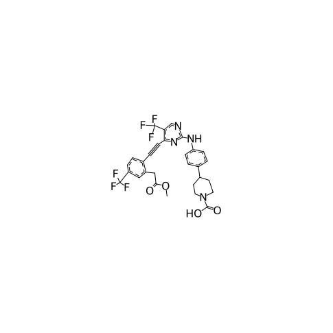 COC(=O)Cc1cc(C(F)(F)F)ccc1C#Cc1nc(Nc2ccc(C3CCN(C(=O)O)CC3)cc2)ncc1C(F)(F)F